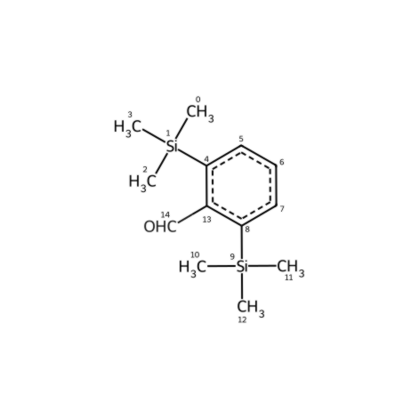 C[Si](C)(C)c1cccc([Si](C)(C)C)c1C=O